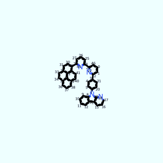 c1cc(-c2ccc(-n3c4ccccc4c4cccnc43)cc2)nc(-c2cccc(-c3ccc4ccc5cccc6ccc3c4c56)n2)c1